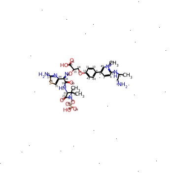 CC(CN)Nc1ccc(-c2ccc(OCC(O/N=C(\C(=O)N[C@@H]3C(=O)N(OS(=O)(=O)O)C3(C)C)c3csc(N)n3)C(=O)O)cc2)c[n+]1C